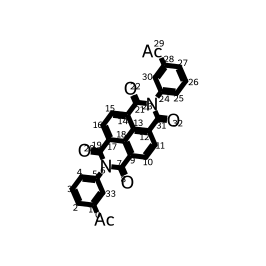 CC(=O)c1cccc(N2C(=O)c3ccc4c5c(ccc(c35)C2=O)C(=O)N(c2cccc(C(C)=O)c2)C4=O)c1